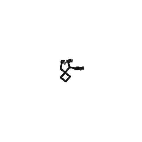 CCCCCCCC(CCCC)C1(CC(F)(F)F)CCC1